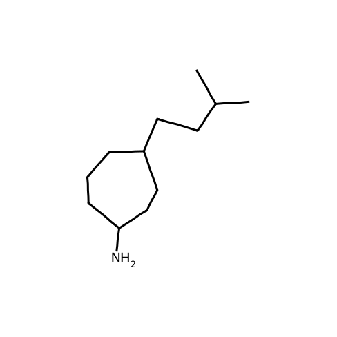 CC(C)CCC1CCCC(N)CC1